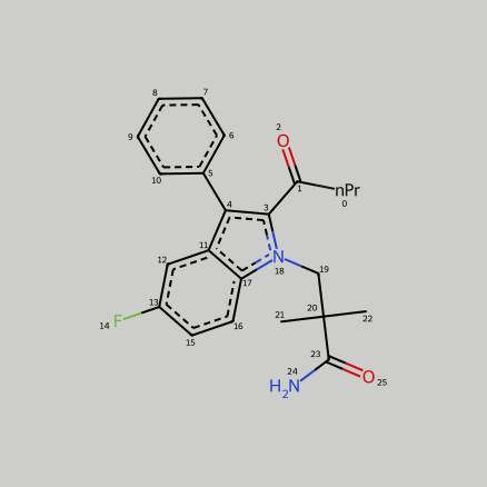 CCCC(=O)c1c(-c2ccccc2)c2cc(F)ccc2n1CC(C)(C)C(N)=O